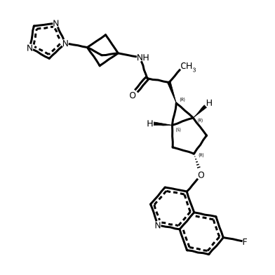 CC(C(=O)NC12CC(n3cncn3)(C1)C2)[C@H]1[C@@H]2C[C@H](Oc3ccnc4ccc(F)cc34)C[C@@H]21